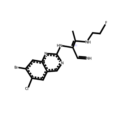 C/C(NCCF)=C(/C=N)Nc1ncc2cc(Cl)c(Br)cc2n1